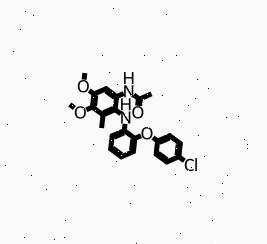 COc1cc(NC(C)=O)c(Nc2ccccc2Oc2ccc(Cl)cc2)c(C)c1OC